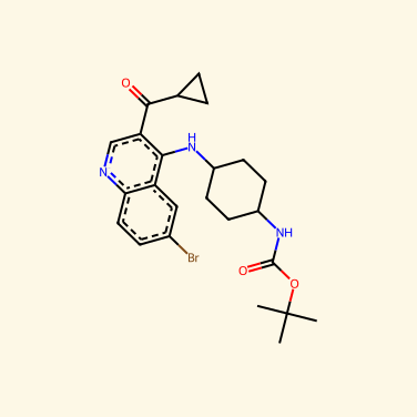 CC(C)(C)OC(=O)NC1CCC(Nc2c(C(=O)C3CC3)cnc3ccc(Br)cc23)CC1